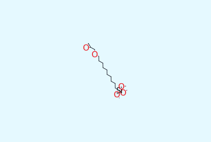 CO[Si](CCCCCCCCCCOCC1CO1)(OC)OC